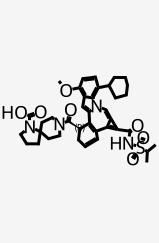 COc1ccc(C2CCCCC2)c2c1cc1n2C=C2C(C(=O)NS(=O)(=O)C(C)C)=C2C2=C1[C@H](C(=O)N1CCC3(CCCN3C(=O)O)CC1)CC=C2